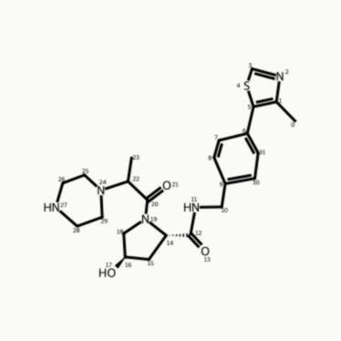 Cc1ncsc1-c1ccc(CNC(=O)[C@@H]2C[C@@H](O)CN2C(=O)C(C)N2CCNCC2)cc1